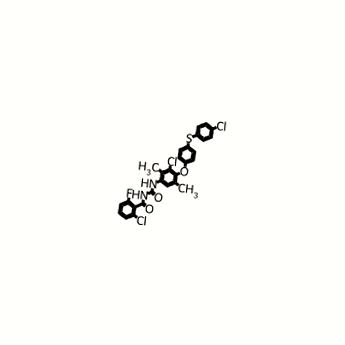 Cc1cc(NC(=O)NC(=O)c2c(F)cccc2Cl)c(C)c(Cl)c1Oc1ccc(Sc2ccc(Cl)cc2)cc1